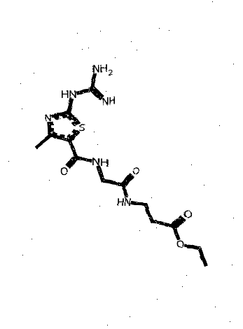 CCOC(=O)CCNC(=O)CNC(=O)c1sc(NC(=N)N)nc1C